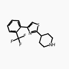 FC(F)(F)c1ccccc1-c1csc(C2CCNCC2)n1